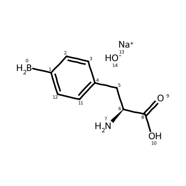 Bc1ccc(C[C@H](N)C(=O)O)cc1.[Na+].[OH-]